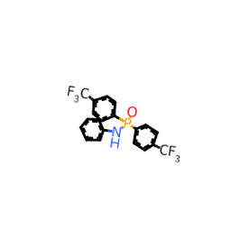 O=P(Nc1ccccc1)(c1ccc(C(F)(F)F)cc1)c1ccc(C(F)(F)F)cc1